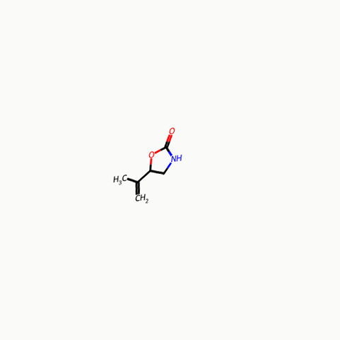 C=C(C)C1CNC(=O)O1